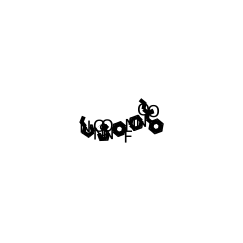 CCOC(=O)C(c1ccccc1)N1CCN(c2ccc(N3CCN(C4CCN(CC)C4)S3(=O)=O)cc2F)CC1